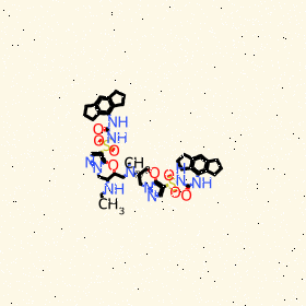 CCNC1Cn2ncc(S(=O)(=O)NC(=O)Nc3c4c(cc5c3CCC5)CCC4)c2OC1CN(C)[C@H]1COc2c(S(=O)(=O)NC(=O)Nc3c4c(cc5c3CCC5)CCC4)cnn2C1